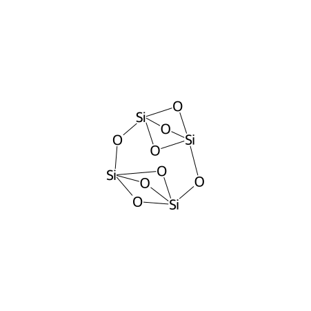 O1[Si]23O[Si]1(O2)O[Si]12O[Si](O1)(O2)O3